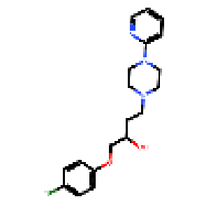 OC(CCN1CCN(c2ccccn2)CC1)COc1ccc(Cl)cc1